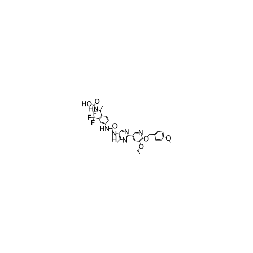 CCOc1cc(-c2ncc(NC(=O)Nc3ccc(C(C)NC(=O)O)c(C(F)(F)F)c3)c(C)n2)cnc1OCc1ccc(OC)cc1